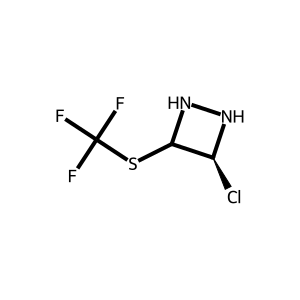 FC(F)(F)SC1NN[C@H]1Cl